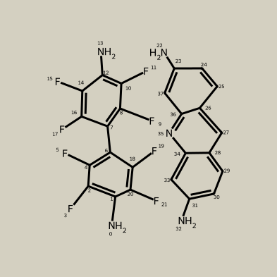 Nc1c(F)c(F)c(-c2c(F)c(F)c(N)c(F)c2F)c(F)c1F.Nc1ccc2cc3ccc(N)cc3nc2c1